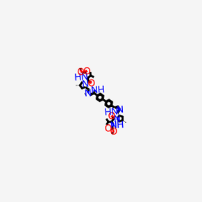 CN/C(=C\N(C)CC1C[C@H](C)CN1C(=O)C(NC(=O)OC)C(C)C)c1ccc(-c2ccc(-c3cnc([C@@H]4C[C@H](C)CN4C(=O)C(NC(=O)OC)C(C)C)[nH]3)cc2)cc1